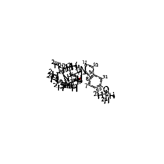 [2H]C([2H])([2H])Oc1ccc2c(ccn2C([2H])([2H])C([2H])(N(C([2H])([2H])[2H])C([2H])([2H])[2H])C([2H])([2H])[2H])c1